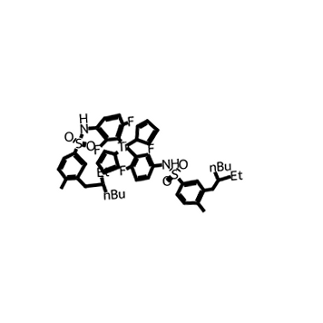 CCCCC(CC)Cc1cc(S(=O)(=O)Nc2ccc(F)[c]([Ti]([c]3c(F)ccc(NS(=O)(=O)c4ccc(C)c(CC(CC)CCCC)c4)c3F)([CH]3C=CC=C3)[CH]3C=CC=C3)c2F)ccc1C